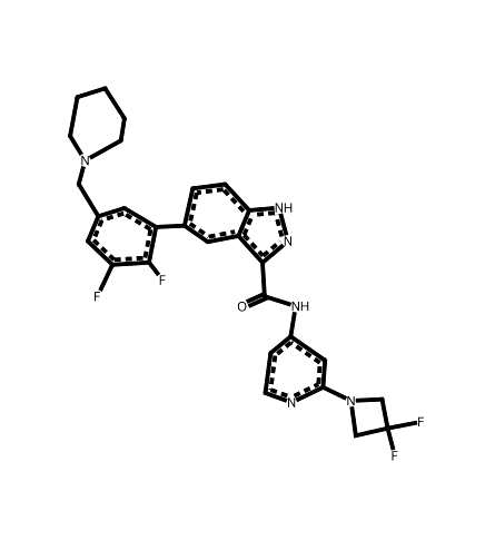 O=C(Nc1ccnc(N2CC(F)(F)C2)c1)c1n[nH]c2ccc(-c3cc(CN4CCCCC4)cc(F)c3F)cc12